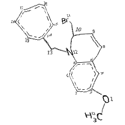 COc1ccc2c(c1)C=CC(Br)N2Cc1ccccc1